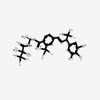 C[C@@H](NC(=O)c1ccc(/C=C/C(c2cc(Cl)c(Cl)c(Cl)c2)C(F)(F)F)cc1C(F)(F)F)NC(=O)C(C)(C)C(F)(F)F